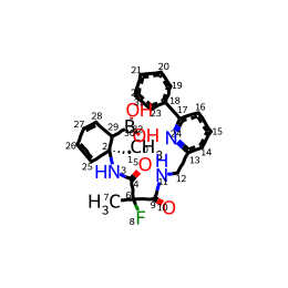 CC[C@]1(NC(=O)C(C)(F)C(=O)NCc2cccc(-c3ccccc3)n2)C=CC=CC1B(O)O